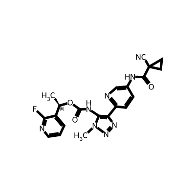 C[C@@H](OC(=O)Nc1c(-c2ccc(NC(=O)C3(C#N)CC3)cn2)nnn1C)c1cccnc1F